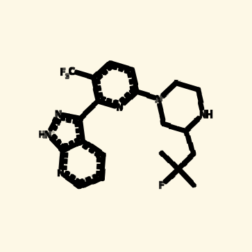 CC(C)(F)CC1CN(c2ccc(C(F)(F)F)c(-c3n[nH]c4ncccc34)n2)CCN1